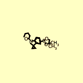 CC1(C)COB(c2ccc3c(c2)C2(CC2)CN3C2CCCCO2)O1